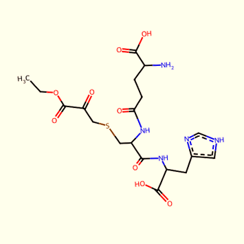 CCOC(=O)C(=O)CSCC(NC(=O)CCC(N)C(=O)O)C(=O)NC(Cc1c[nH]cn1)C(=O)O